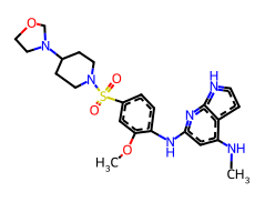 CNc1cc(Nc2ccc(S(=O)(=O)N3CCC(N4CCOC4)CC3)cc2OC)nc2[nH]ccc12